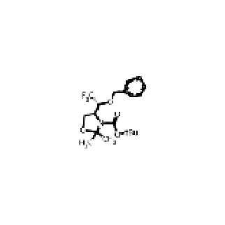 CC(C)(C)OC(=O)N1[C@H]([C@@H](OCc2ccccc2)C(F)(F)F)COC1(C)C